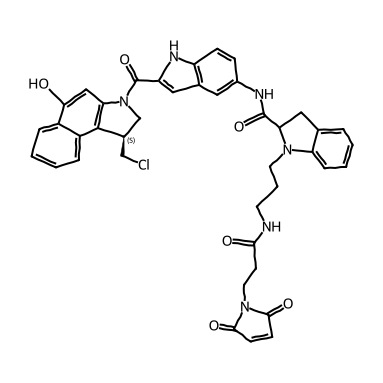 O=C(CCN1C(=O)C=CC1=O)NCCCN1c2ccccc2CC1C(=O)Nc1ccc2[nH]c(C(=O)N3C[C@@H](CCl)c4c3cc(O)c3ccccc43)cc2c1